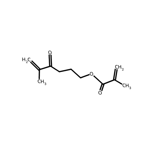 C=C(C)C(=O)CCCOC(=O)C(=C)C